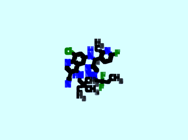 CCC(F)(F)Cn1cc([C@@H](Nc2cc(Cl)c3ncc(C#N)c(NCC(C)(C)C)c3c2)c2ccc(F)nc2C)nn1